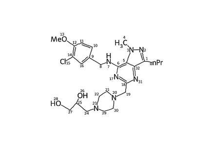 CCCc1nn(C)c2c(NCc3ccc(OC)c(Cl)c3)nc(CN3CCN(CC(O)CO)CC3)nc12